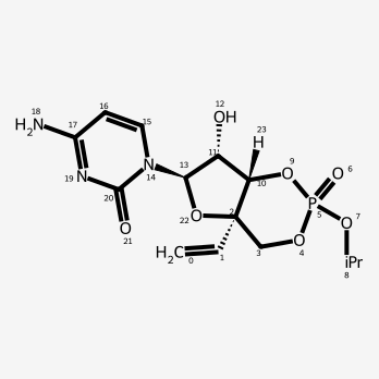 C=C[C@@]12COP(=O)(OC(C)C)O[C@H]1[C@@H](O)[C@H](n1ccc(N)nc1=O)O2